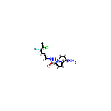 C=C(Cl)/C(F)=C\C=C(/C)NC(=O)c1ccc2n1CCC2N